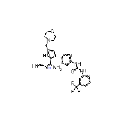 N=C/N=C(/N)c1[nH]c(CN2CCOCC2)cc1-c1ccc(NC(=O)Nc2cc(C(F)(F)F)ccn2)nc1